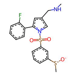 CNCc1cc(-c2ccccc2F)n(S(=O)(=O)c2cccc([S+](C)[O-])c2)c1